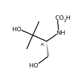 CC(C)(O)[C@@H](CO)NC(=O)O